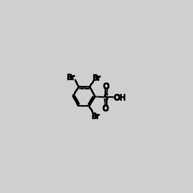 O=S(=O)(O)c1c(Br)ccc(Br)c1Br